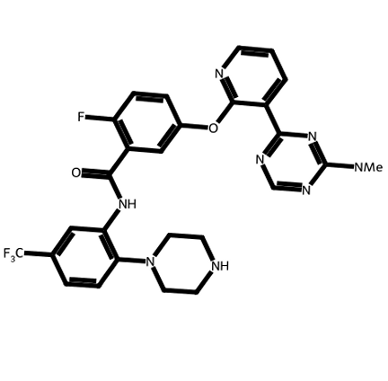 CNc1ncnc(-c2cccnc2Oc2ccc(F)c(C(=O)Nc3cc(C(F)(F)F)ccc3N3CCNCC3)c2)n1